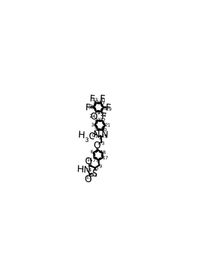 Cn1c(COc2ccc(CC3SC(=O)NC3=O)cc2)nc2ccc(Oc3c(F)c(F)c(F)c(F)c3F)cc21